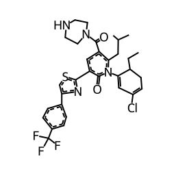 CCC1CC=C(Cl)C=C1n1c(CC(C)C)c(C(=O)N2CCNCC2)cc(-c2nc(-c3ccc(C(F)(F)F)cc3)cs2)c1=O